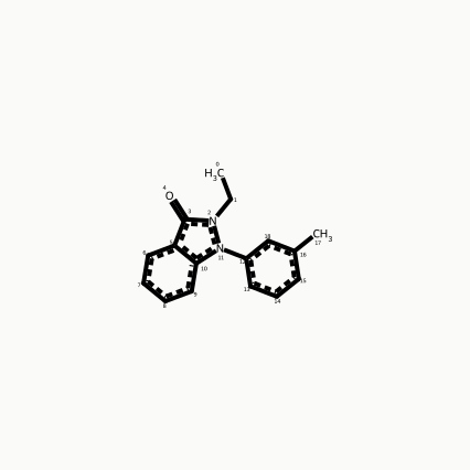 CCn1c(=O)c2ccccc2n1-c1cccc(C)c1